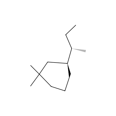 CC[C@H](C)[C@H]1CCCC(C)(C)C1